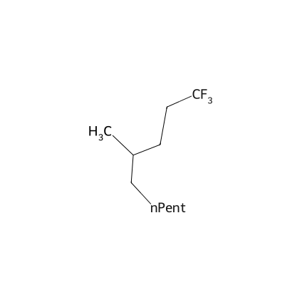 CCCCCCC(C)CCC(F)(F)F